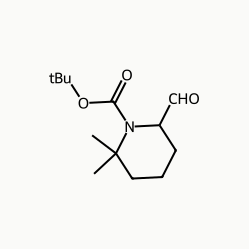 CC(C)(C)OC(=O)N1C(C=O)CCCC1(C)C